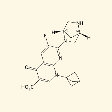 O=C(O)c1cn(C23CC(C2)C3)c2nc(N3C[C@@H]4C[C@H]3CN4)c(F)cc2c1=O